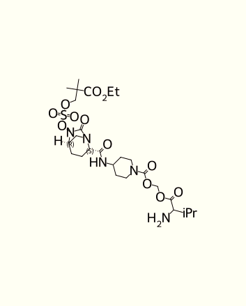 CCOC(=O)C(C)(C)COS(=O)(=O)ON1C(=O)N2C[C@H]1CC[C@H]2C(=O)NC1CCN(C(=O)OCOC(=O)C(N)C(C)C)CC1